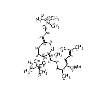 COC(=CC=C(C)C)C(C)CCC[C@]1(C)OCC(=CCO[Si](C)(C)C)CC[C@H]1O[Si](C)(C)C